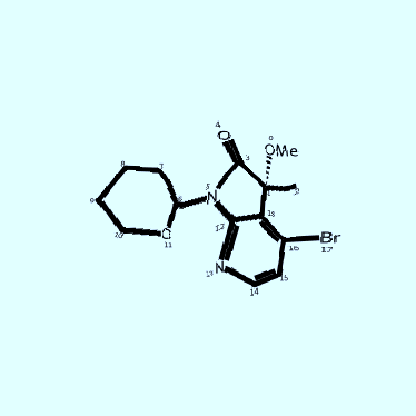 CO[C@@]1(C)C(=O)N(C2CCCCO2)c2nccc(Br)c21